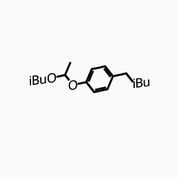 CCC(C)Cc1ccc(OC(C)OCC(C)C)cc1